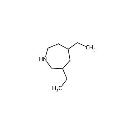 CCC1CCNCC(CC)C1